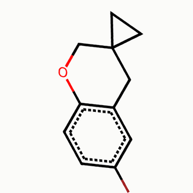 Brc1ccc2c(c1)CC1(CC1)CO2